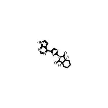 O=C1[C@H]2CCCC[C@@H]2C(=O)N1c1nc(-c2ncnc3[nH]ccc23)cs1